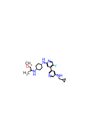 COC[C@H](C)N[C@H]1CC[C@H](Nc2cc(-c3cncc(NCC4CC4)c3)c(F)cn2)CC1